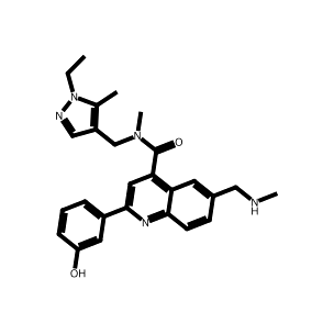 CCn1ncc(CN(C)C(=O)c2cc(-c3cccc(O)c3)nc3ccc(CNC)cc23)c1C